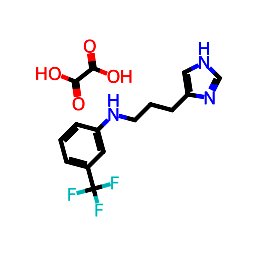 FC(F)(F)c1cccc(NCCCc2c[nH]cn2)c1.O=C(O)C(=O)O